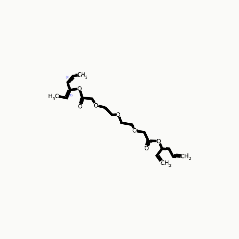 C=CCC(C=C)OC(=O)COCCOCCOCC(=O)OC(/C=C\C)=C/C